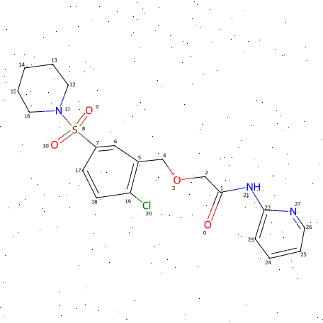 O=C(COCc1cc(S(=O)(=O)N2CCCCC2)ccc1Cl)Nc1ccccn1